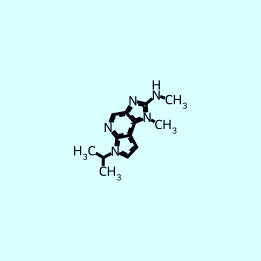 CNc1nc2cnc3c(ccn3C(C)C)c2n1C